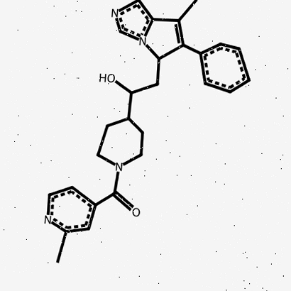 CC1=C(c2ccccc2)C(CC(O)C2CCN(C(=O)c3ccnc(C)c3)CC2)n2cncc21